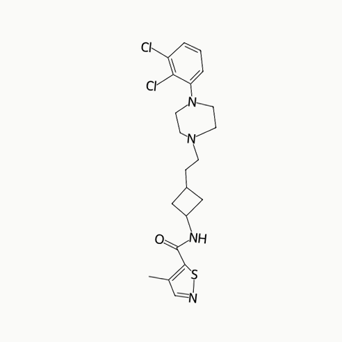 Cc1cnsc1C(=O)NC1CC(CCN2CCN(c3cccc(Cl)c3Cl)CC2)C1